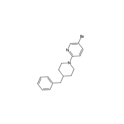 Brc1ccc(N2CCC(Cc3ccccc3)CC2)nc1